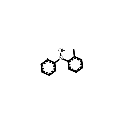 Cc1ccccc1N(O)c1[c]cccc1